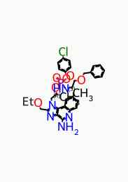 CCOCc1nc2c(N)nc3ccccc3c2n1C[C@@H](C)OP(=O)(N[C@@H](C)C(=O)OCc1ccccc1)Oc1ccc(Cl)cc1